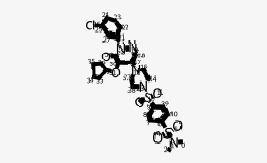 CN(C)S(=O)(=O)c1ccc(S(=O)(=O)N2CCN(c3cnn(-c4cccc(Cl)c4)c(=O)c3OC3CCCC3)CC2)cc1